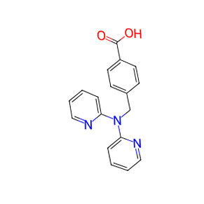 O=C(O)c1ccc(CN(c2ccccn2)c2ccccn2)cc1